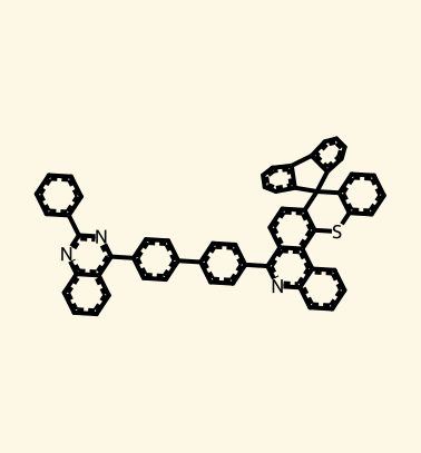 c1ccc(-c2nc(-c3ccc(-c4ccc(-c5nc6ccccc6c6c7c(ccc56)C5(c6ccccc6S7)c6ccccc6-c6ccccc65)cc4)cc3)c3ccccc3n2)cc1